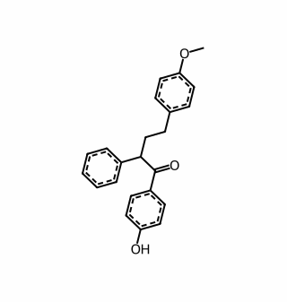 COc1ccc(CCC(C(=O)c2ccc(O)cc2)c2ccccc2)cc1